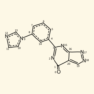 O=C1N=C(c2cccc(-n3ccnc3)c2)N=C2N=NC=C12